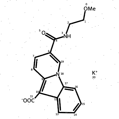 COCCNC(=O)c1ccc2c(C(=O)[O-])c3ccccc3n2c1.[K+]